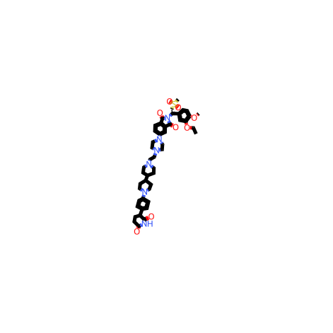 CCOc1cc([C@@H](CS(C)(=O)=O)N2C(=O)c3ccc(N4CCN(CCN5CCC(C6CCN(c7ccc(C8CCC(=O)NC8=O)cc7)CC6)CC5)CC4)cc3C2=O)ccc1OC